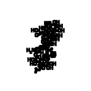 CC(C)CC(=O)OC1C(OC2C(CO)OC(Oc3ccc(C[C@H](NC(=O)[C@@H](N)C(C)c4ccccc4)C(=O)N[C@H](C(=O)N[C@H](C(=O)N[C@H]([C]=O)CO)C(O)C4CNC(=N)N4C4OC(CO)C(O)C(O)C4O)C(O)C4CNC(=N)N4)cc3N)C(O)C2O)OC(CO)C(O)C1O